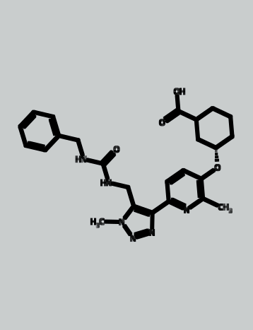 Cc1nc(-c2nnn(C)c2CNC(=O)NCc2ccccc2)ccc1O[C@H]1CCCC(C(=O)O)C1